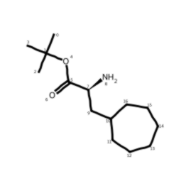 CC(C)(C)OC(=O)[C@@H](N)CC1CCCCCC1